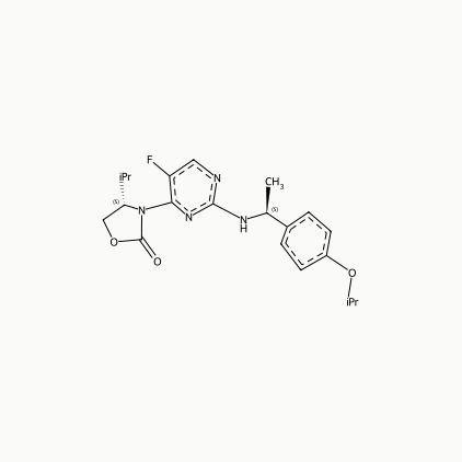 CC(C)Oc1ccc([C@H](C)Nc2ncc(F)c(N3C(=O)OC[C@@H]3C(C)C)n2)cc1